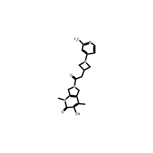 Cc1c2c(n(C)c(=O)c1C#N)CN(C(=O)CC1CN(c3ccnc(C(F)(F)F)c3)C1)C2